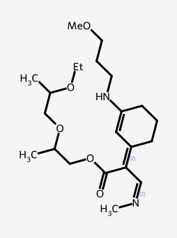 CCOC(C)COC(C)COC(=O)C(/C=N\C)=C1\C=C(NCCCOC)CCC1